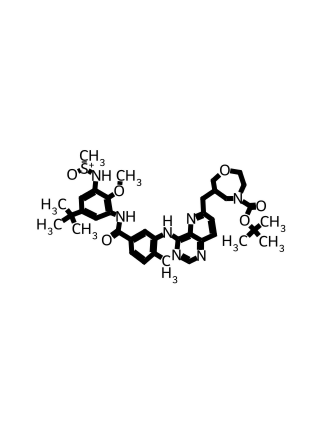 COc1c(NC(=O)c2ccc(C)c(Nc3ncnc4ccc(CC5COCCN(C(=O)OC(C)(C)C)C5)nc34)c2)cc(C(C)(C)C)cc1N[S+](C)[O-]